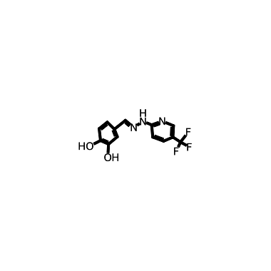 Oc1ccc(C=NNc2ccc(C(F)(F)F)cn2)cc1O